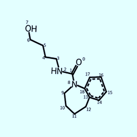 O=C(NCCCCO)N1CCCCc2ccccc21